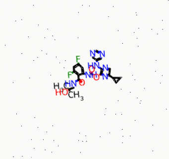 CC(C)(O)CNC(=O)c1c(F)cc(F)cc1NC(=O)Oc1nc(C2CC2)cnc1Nc1cncnc1